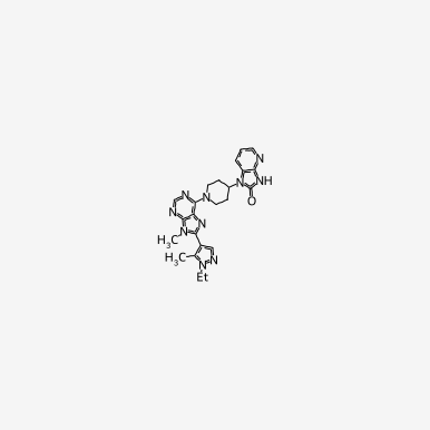 CCn1ncc(-c2nc3c(N4CCC(n5c(=O)[nH]c6ncccc65)CC4)ncnc3n2C)c1C